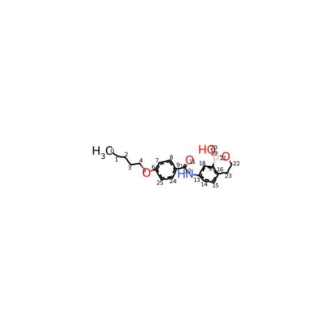 CCCCCOc1ccc(C(=O)Nc2ccc3c(c2)B(O)OCC3)cc1